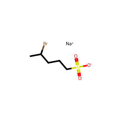 CC(Br)CCCS(=O)(=O)[O-].[Na+]